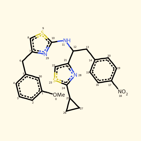 COc1cccc(Cc2csc(NC(Cc3ccc([N+](=O)[O-])cc3)c3csc(C4CC4)n3)n2)c1